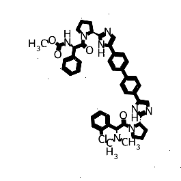 COC(=O)N[C@@H](C(=O)N1CCC[C@H]1c1ncc(-c2ccc(-c3ccc(-c4cnc([C@@H]5CCCN5C(=O)[C@@H](c5ccccc5Cl)N(C)C)[nH]4)cc3)cc2)[nH]1)c1ccccc1